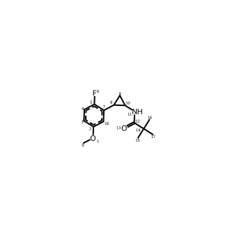 COc1ccc(F)c(C2CC2NC(=O)C(C)(C)C)c1